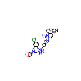 CC1=C(C#N)C=CC(N2CC3(CC(c4nnc5n4-c4ccc(Cl)cc4CN([C@@H]4CCOC4)C5)C3)C2)N1